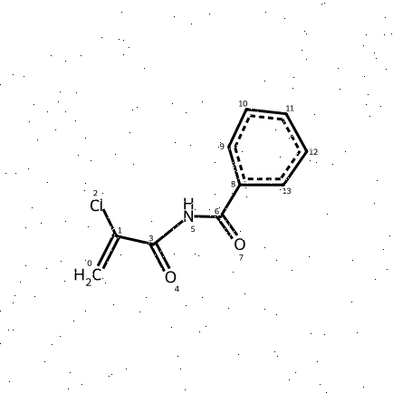 C=C(Cl)C(=O)NC(=O)c1ccccc1